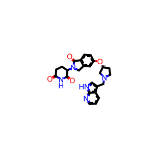 O=C1CCC(N2Cc3cc(O[C@@H]4CCN(Cc5c[nH]c6ncccc56)C4)ccc3C2=O)C(=O)N1